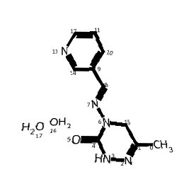 CC1=NNC(=O)N(/N=C/c2cccnc2)C1.O.O